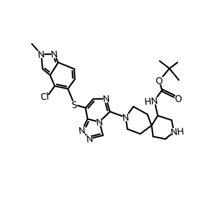 Cn1cc2c(Cl)c(Sc3cnc(N4CCC5(CCNCC5NC(=O)OC(C)(C)C)CC4)n4cnnc34)ccc2n1